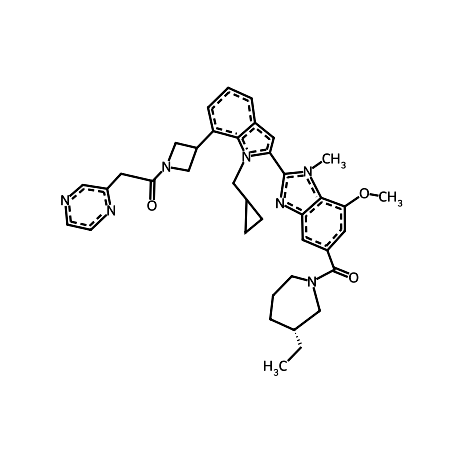 CC[C@@H]1CCCN(C(=O)c2cc(OC)c3c(c2)nc(-c2cc4cccc(C5CN(C(=O)Cc6cnccn6)C5)c4n2CC2CC2)n3C)C1